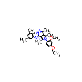 CCOc1ccc(-n2c(C)c3c(C)nnc(Nc4cc(C)cc(C)c4)c3c2C)c(OC)c1